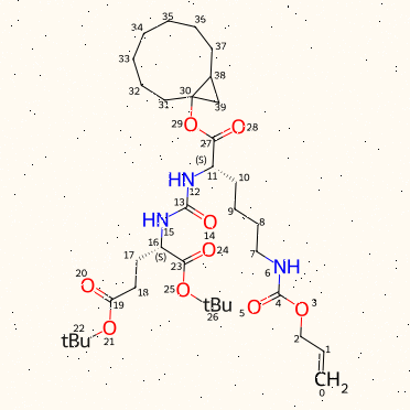 C=CCOC(=O)NCCCC[C@H](NC(=O)N[C@@H](CCC(=O)OC(C)(C)C)C(=O)OC(C)(C)C)C(=O)OC12CCCCCCCC1C2